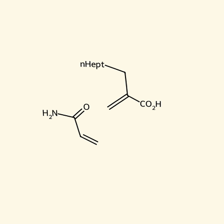 C=C(CCCCCCCC)C(=O)O.C=CC(N)=O